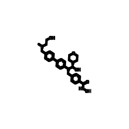 CN(CCO)Cc1ccc(-c2ccc(N(Cc3ccc(C(=O)NO)cc3)C(O)N3CCOCC3)cc2)cc1